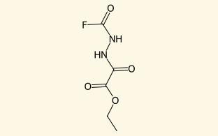 CCOC(=O)C(=O)NNC(=O)F